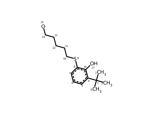 CC(C)(C)c1cccc(SCCCCC[O])c1O